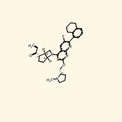 C=CC(=O)[C@H]1CC[C@@H]2[C@H]1CN2c1nc(OC[C@@H]2CCCN2C)nc2nc(-c3cccc4c3CCCC4)c(F)cc12